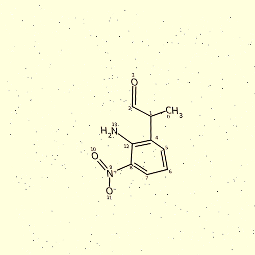 CC(C=O)c1cccc([N+](=O)[O-])c1N